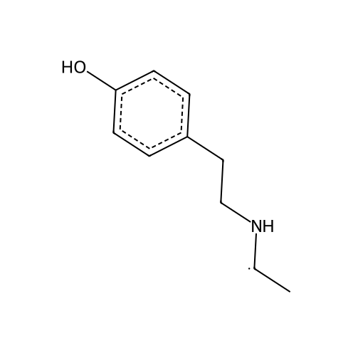 C[CH]NCCc1ccc(O)cc1